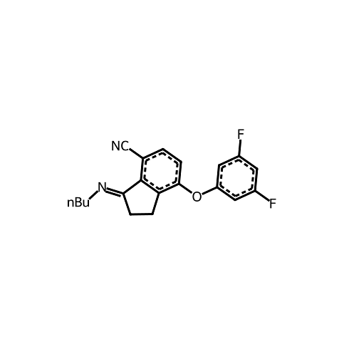 CCCCN=C1CCc2c(Oc3cc(F)cc(F)c3)ccc(C#N)c21